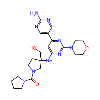 Nc1ncc(-c2cc(N[C@@]3(CO)CCN(C(=O)N4CCCC4)C3)nc(N3CCOCC3)n2)cn1